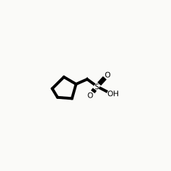 O=S(=O)(O)[CH]C1CCCC1